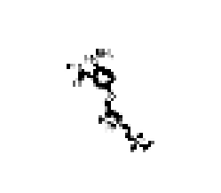 CC[N+](C)(C)CCn1cc(COc2ccc(NN)c(C(=O)O)c2)nn1